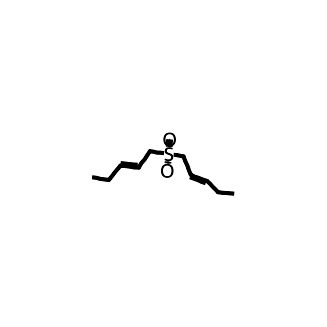 CCC=CCS(=O)(=O)CC=CCC